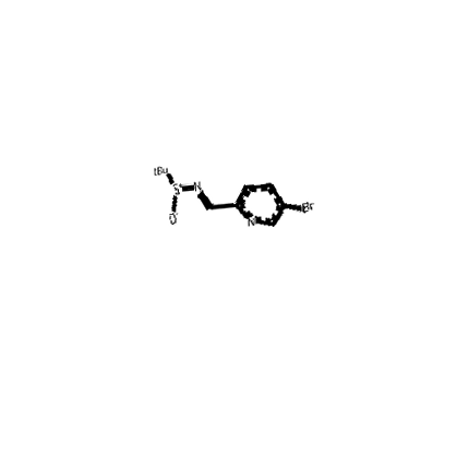 CC(C)(C)[S+]([O-])N=Cc1ccc(Br)cn1